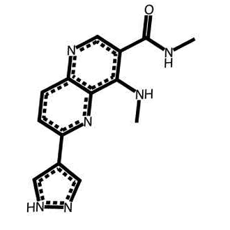 CNC(=O)c1cnc2ccc(-c3cn[nH]c3)nc2c1NC